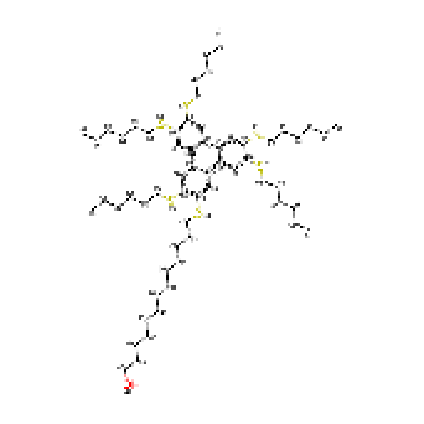 CCCCCCSc1cc2c3cc(SCCCCCC)c(SCCCCCC)cc3c3cc(SCCCCCCCCCCCCCO)c(SCCCCCC)cc3c2cc1SCCCCCC